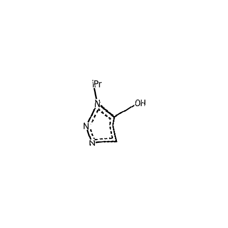 CC(C)n1nncc1O